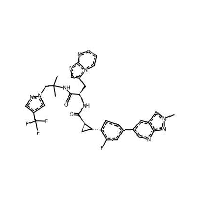 Cn1cc2cc(-c3ccc([C@@H]4C[C@H]4C(=O)N[C@H](Cc4cnc5ncccn45)C(=O)NC(C)(C)Cn4cc(C(F)(F)F)cn4)c(F)c3)cnc2n1